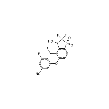 N#Cc1cc(F)cc(Oc2ccc3c(c2CF)C(O)C(F)(F)S3(=O)=O)c1